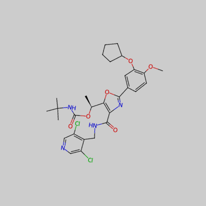 COc1ccc(-c2nc(C(=O)NCc3c(Cl)cncc3Cl)c([C@H](C)OC(=O)NC(C)(C)C)o2)cc1OC1CCCC1